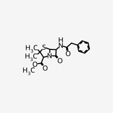 COC(=O)C1N2C(=O)C(NC(=O)Cc3ccccc3)C2SC1(C)C